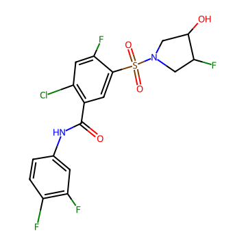 O=C(Nc1ccc(F)c(F)c1)c1cc(S(=O)(=O)N2CC(O)C(F)C2)c(F)cc1Cl